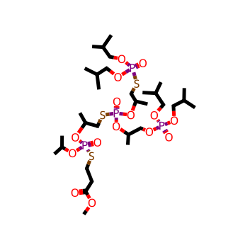 COC(=O)CCSP(=O)(OC(C)C)OC(C)CSP(=O)(OC(C)COP(=O)(OCC(C)C)OCC(C)C)OC(C)CSP(=O)(OCC(C)C)OCC(C)C